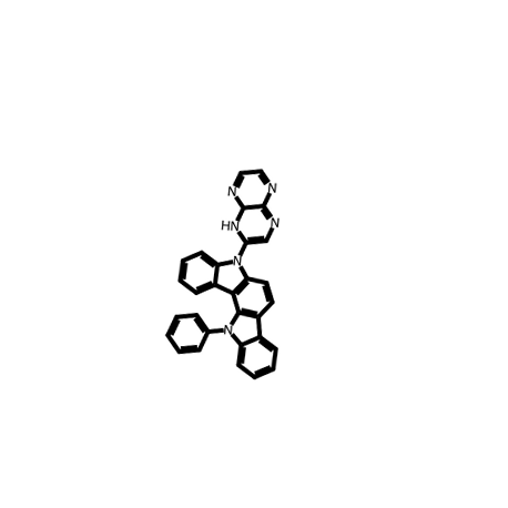 C1=NC2=NC=C(n3c4ccccc4c4c3ccc3c5ccccc5n(-c5ccccc5)c34)NC2N=C1